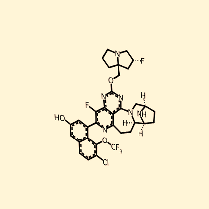 Oc1cc(-c2nc3c4c(nc(OC[C@@]56CCCN5C[C@H](F)C6)nc4c2F)N2C[C@H]4CC[C@H](N4)[C@H]2CC3)c2c(OC(F)(F)F)c(Cl)ccc2c1